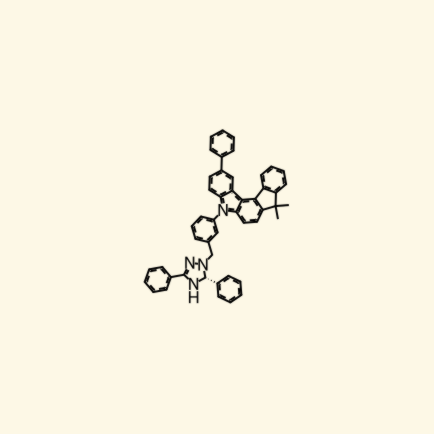 CC1(C)c2ccccc2-c2c1ccc1c2c2cc(-c3ccccc3)ccc2n1-c1cccc(CN2N=C(c3ccccc3)N[C@H]2c2ccccc2)c1